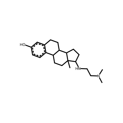 CN(C)CCNC1CCC2C3CCc4cc(O)ccc4C3CCC12C